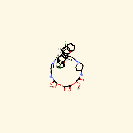 CCOC1OC(=O)C(=O)OC(OCC)C(=O)NC2CCN(CC2)C[C@@]23c4ccccc4[C@@H](c4ccc(Cl)cc42)C32[C@H]3c4ccccc4[C@@]2(CN2CCC(CC2)NC1=O)c1cc(Cl)ccc13